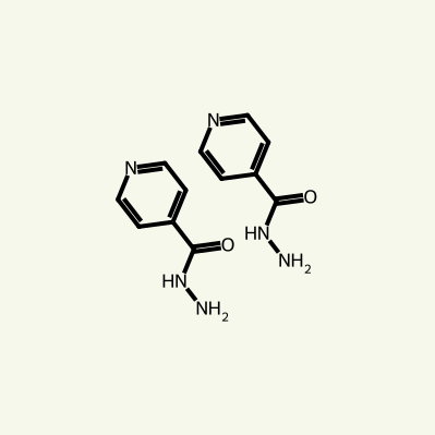 NNC(=O)c1ccncc1.NNC(=O)c1ccncc1